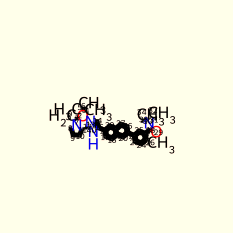 C=C(OC(C)(C)C)N1CCC[C@H]1c1ncc(-c2ccc3cc(-c4ccc(C)c(C(=O)N(CC)CC)c4)ccc3c2)[nH]1